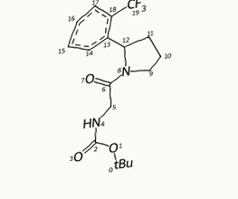 CC(C)(C)OC(=O)NCC(=O)N1CCCC1c1ccccc1C(F)(F)F